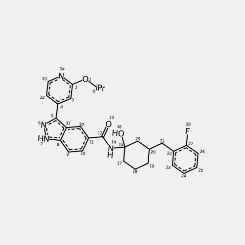 CC(C)Oc1cc(-c2n[nH]c3ccc(C(=O)NC4(O)CCCC(Cc5ccccc5F)C4)cc23)ccn1